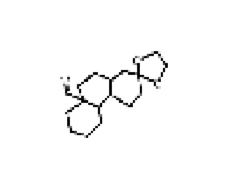 O=CC12CCCCC1C1CCC3(CC1CC2)OCCO3